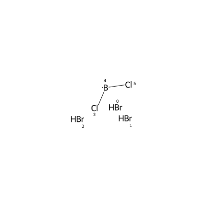 Br.Br.Br.Cl[B]Cl